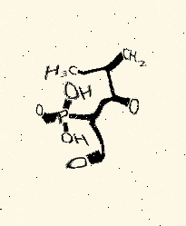 C=C(C)C(=O)C(C=O)P(=O)(O)O